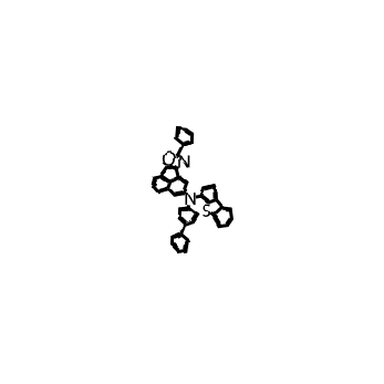 c1ccc(-c2ccc(N(c3cc4c5c(cccc5c3)-c3oc(-c5ccccc5)nc3-4)c3cccc4c3sc3ccccc34)cc2)cc1